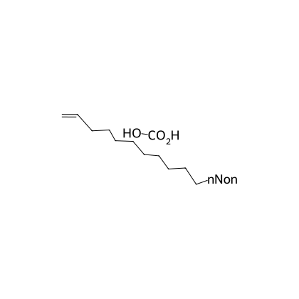 C=CCCCCCCCCCCCCCCCCCC.O=C(O)O